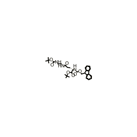 CC(C)(C)OC(=O)NCCNC(=O)CC[C@H](NC(=O)OCC1c2ccccc2-c2ccccc21)C(=O)OC(C)(C)C